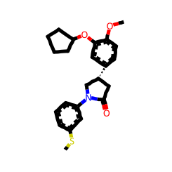 COc1ccc([C@@H]2CC(=O)N(c3cccc(SC)c3)C2)cc1OC1CCCC1